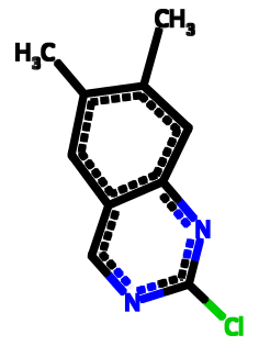 Cc1cc2cnc(Cl)nc2cc1C